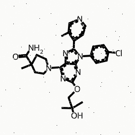 Cc1cnccc1-c1nc2c(N3CCC(C)(C(N)=O)CC3)nc(OCC(C)(C)O)nc2n1-c1ccc(Cl)cc1